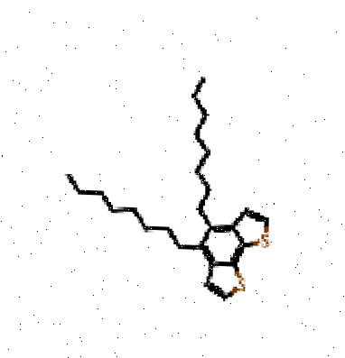 CCCCCCCCc1c(CCCCCCCC)c2ccsc2c2sccc12